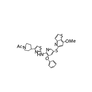 COc1cc(Sc2cnc(Nc3nc(C4CCN(C(C)=O)CC4)cs3)c(Oc3ccccc3)c2)nc2ccsc12